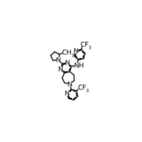 CC1CCCN1c1nc2c(c(Nc3ccc(C(F)(F)F)nc3)n1)CCN(c1ncccc1C(F)(F)F)CC2